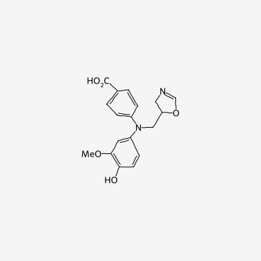 COc1cc(N(CC2CN=CO2)c2ccc(C(=O)O)cc2)ccc1O